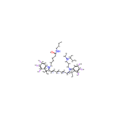 CCCCNC(=O)CCCCC[N+]1=C(/C=C/C=C/C=C/C=C2/C(C)c3c(cc(I)c(I)c3I)N2CCCN(CC)C(C)CC)C(C)(C)c2c1cc(I)c(I)c2I